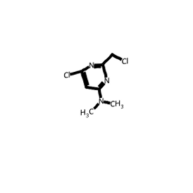 CN(C)c1cc(Cl)nc(CCl)n1